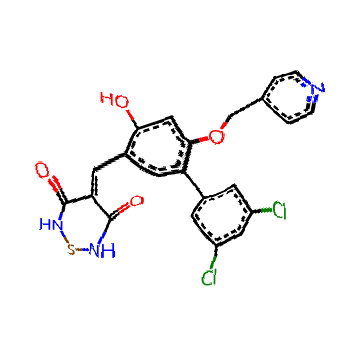 O=C1NSNC(=O)C1=Cc1cc(-c2cc(Cl)cc(Cl)c2)c(OCc2ccncc2)cc1O